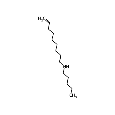 C=CCCCCCCCNCCCCC